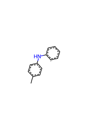 Cc1ccc(Nc2[c]cccc2)cc1